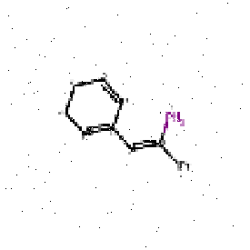 CC(C)/C(P)=C/C1=CCCC=C1